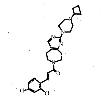 O=C(C=Cc1ccc(Cl)cc1Cl)N1CCc2cnc(N3CCN(C4CCC4)CC3)nc2CC1